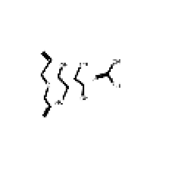 C=CCOCC=C.O=C(O)O.OCCO.OCCO